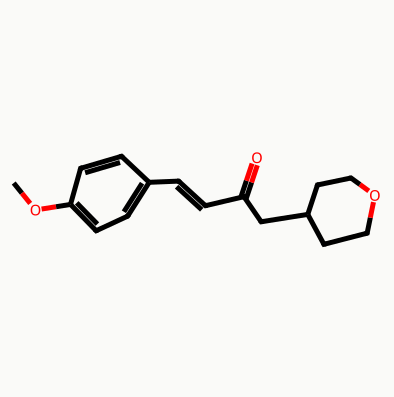 COc1ccc(C=CC(=O)CC2CCOCC2)cc1